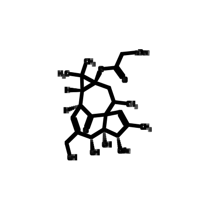 CCCCCCCCCCCC(=O)O[C@@]12CC(C)C34C=C(C)[C@H](OC(C)=O)[C@@]3(O)[C@H](O)C(CO)=C[C@H](C4=O)[C@@H]1C2(C)C